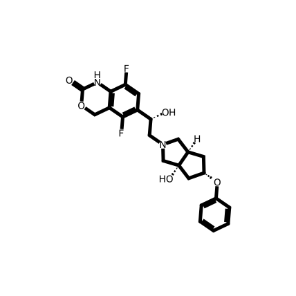 O=C1Nc2c(F)cc([C@H](O)CN3C[C@H]4C[C@H](Oc5ccccc5)C[C@@]4(O)C3)c(F)c2CO1